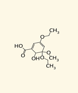 CCOC1=CC(OC)(OCC)C(O)C(C(=O)O)=C1